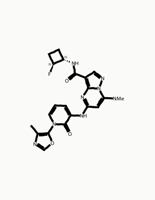 CNc1cc(Nc2cccn(-c3ocnc3C)c2=O)nc2c(C(=O)N[C@H]3CC[C@@H]3F)cnn12